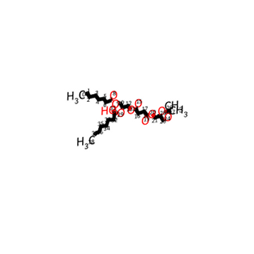 CCCCCCCC(=O)OCC(COC(=O)CCC(=O)OCC1COC(C)(C)O1)OC(O)CCCCCCC